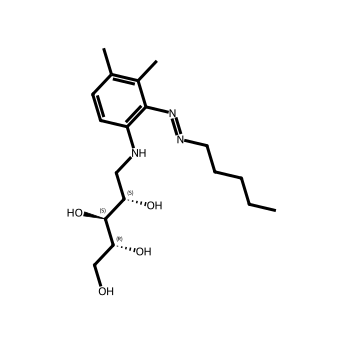 CCCCCN=Nc1c(NC[C@H](O)[C@H](O)[C@H](O)CO)ccc(C)c1C